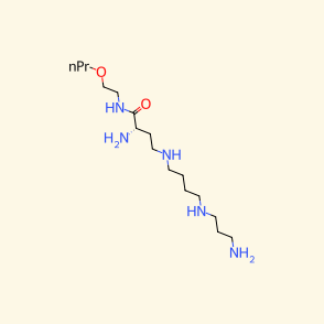 CCCOCCNC(=O)[C@@H](N)CCNCCCCNCCCN